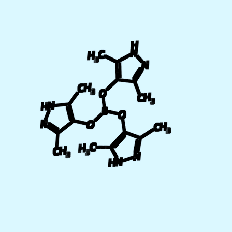 Cc1n[nH]c(C)c1OB(Oc1c(C)n[nH]c1C)Oc1c(C)n[nH]c1C